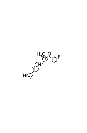 C[C@H]1CC(Cn2ccc3nc(-c4cn[nH]c4)ccc32)CN1C(=O)c1cccc(F)c1